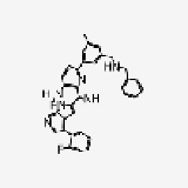 Cc1cc(CNCc2ccccc2)cc(-c2ccc(N)c(C(=N)c3cc4c(-c5ccccc5F)cncc4[nH]3)n2)c1